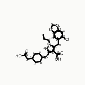 CCCn1nc(SC2CCC(CC(=O)O)CC2)c(C(=O)O)c1Cc1cc2c(cc1Cl)OCO2